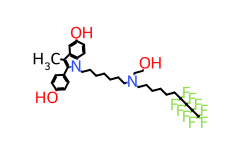 Cc1c(-c2ccc(O)cc2)n(CCCCCCCN(CCO)CCCCCCC(F)(F)C(F)(F)C(F)(F)C(F)(F)F)c2ccc(O)cc12